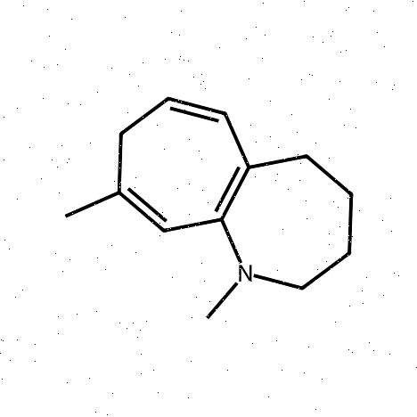 CC1=CC2=C(C=CC1)CCCCN2C